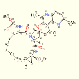 CCOC(=O)[C@@]12C[C@H]1/C=C\CCCCC[C@H](NC(=O)OC(C)(C)C)C(=O)N1C[C@@]3(CC(Cl)c4c(c(C)nc5ccc(OC)nc45)O3)C[C@H]1C(=O)N2